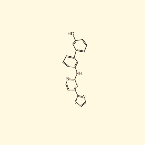 Oc1cccc(-c2cccc(Nc3nccc(-c4nccs4)n3)c2)c1